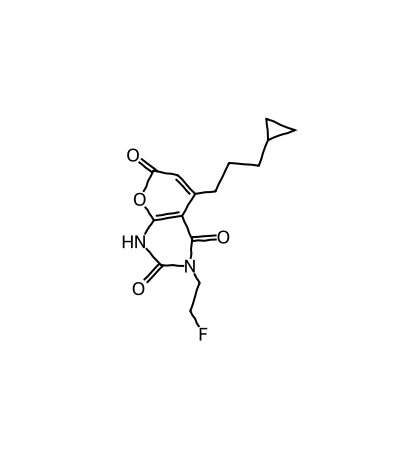 O=c1cc(CCCC2CC2)c2c(=O)n(CCF)c(=O)[nH]c2o1